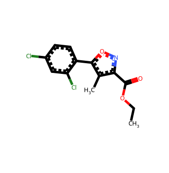 CCOC(=O)c1noc(-c2ccc(Cl)cc2Cl)c1C